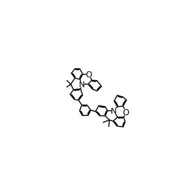 CC1(C)c2ccc(-c3cccc(-c4ccc5c(c4)C(C)(C)c4cccc6c4N5c4ccccc4O6)c3)cc2N2c3ccccc3Oc3cccc1c32